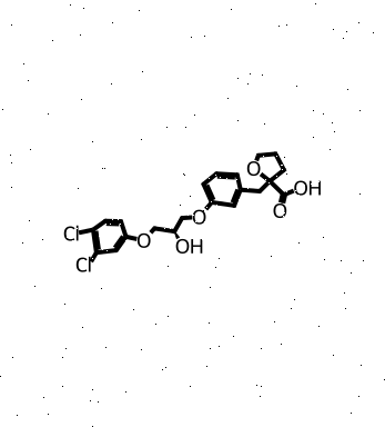 O=C(O)C1(Cc2cccc(OC[C@@H](O)COc3ccc(Cl)c(Cl)c3)c2)CCCO1